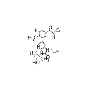 Cc1c(F)cc(C(=O)NC2CC2)cc1-c1cnc2c(c1)n(CCF)c(=O)n2C(C)(C)CO